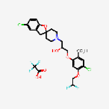 O=C(O)C(F)(F)F.O=C(O)c1cc(Cl)c(OCC(F)F)cc1OC[C@@H](O)CN1CCC2(CC1)Cc1cc(Cl)ccc1O2